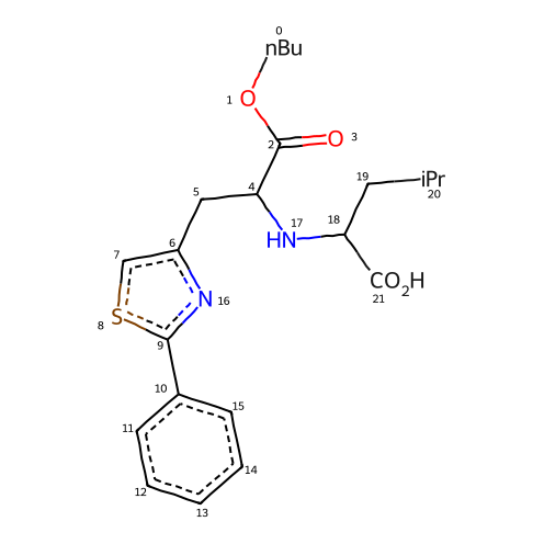 CCCCOC(=O)C(Cc1csc(-c2ccccc2)n1)NC(CC(C)C)C(=O)O